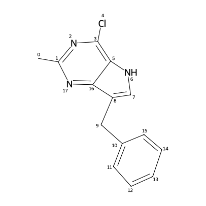 Cc1nc(Cl)c2[nH]cc(Cc3ccccc3)c2n1